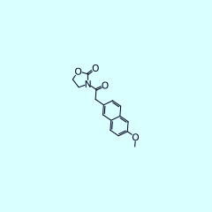 COc1ccc2cc(CC(=O)N3CCOC3=O)ccc2c1